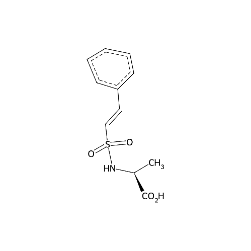 C[C@H](NS(=O)(=O)/C=C/c1ccccc1)C(=O)O